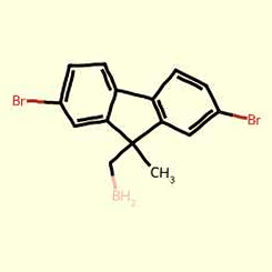 BCC1(C)c2cc(Br)ccc2-c2ccc(Br)cc21